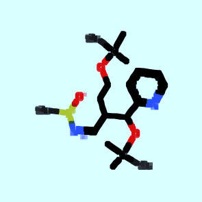 CC(C)(C)[S+]([O-])/N=C\C(CCO[Si](C)(C)C(C)(C)C)C(O[Si](C)(C)C(C)(C)C)c1ccccn1